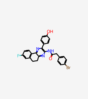 O=C(Cc1ccc(Br)cc1)Nc1nc2c(nc1-c1ccc(O)cc1)-c1ccc(F)cc1CC2